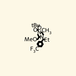 CCC(c1ccc(C(F)(F)F)cc1)N1CC(C)N(C(=O)OC(C)(C)C)CC1COC